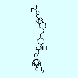 Cc1ncc(OCC(=O)N[C@H]2CC[C@H](CCN3CCc4sc(COC(F)F)nc4C3)CC2)cn1